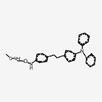 CONCONc1ccc(CCc2ccc(N(c3ccccc3)c3ccccc3)cc2)cc1